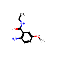 CCNC(=O)c1cc(OC)ccc1N